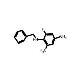 Cc1cc(C)c(NCc2ccccc2)c(F)c1